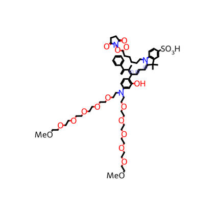 C=C(/C(C)=C(/C=C/C=C1\N(CCCCCC(=O)ON2C(=O)CCC2=O)c2ccc(S(=O)(=O)O)cc2C1(C)C)c1ccc(N(CCOCCOCCOCCOCCOCCOC)CCOCCOCCOCCOCCOCCOC)cc1O)c1ccccc1